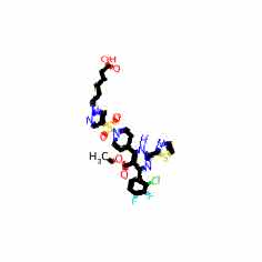 CCOC(=O)C1=C(C2CCN(S(=O)(=O)c3cnn(CCCCCC(=O)O)c3)CC2)NC(c2nccs2)=NC1c1ccc(F)c(F)c1Cl